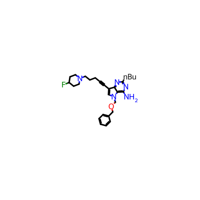 CCCCc1nc(N)c2c(n1)c(C#CCCCN1CCC(F)CC1)cn2COCc1ccccc1